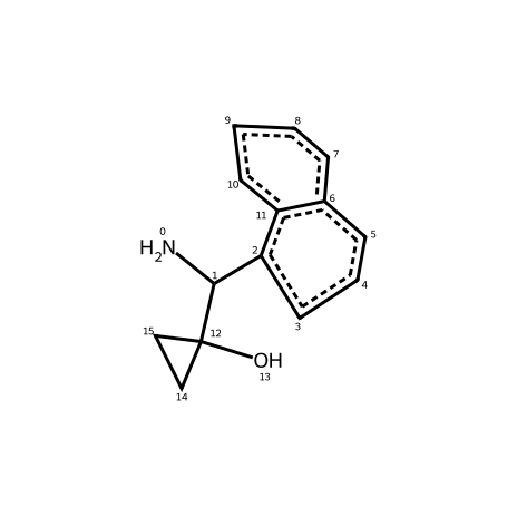 NC(c1cccc2ccccc12)C1(O)CC1